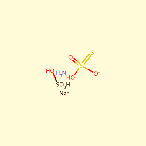 N.O=S(=O)(O)O.O=S([O-])(O)=S.[Na+]